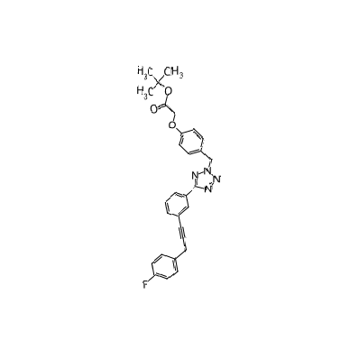 CC(C)(C)OC(=O)COc1ccc(Cn2nnc(-c3cccc(C#CCc4ccc(F)cc4)c3)n2)cc1